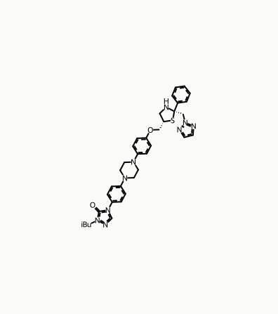 CCC(C)n1ncn(-c2ccc(N3CCN(c4ccc(OC[C@@H]5CN[C@@](Cn6nccn6)(c6ccccc6)S5)cc4)CC3)cc2)c1=O